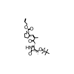 C=CCOC(=O)N1CCC[C@@H]1C=C(C)C(=O)C[C@H]1NC(=O)[C@@H]1[C@@H](C)O[Si](C)(C)C(C)(C)C